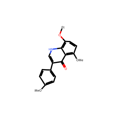 CCOc1ccc(OC)c2c(=O)c(-c3ccc(OC)cc3)c[nH]c12